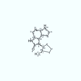 C[C@@H]1CCC[C@@H]1n1c(=O)[nH]c2cnc3[nH]ccc3c21